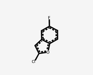 Fc1ccc2oc(Cl)cc2c1